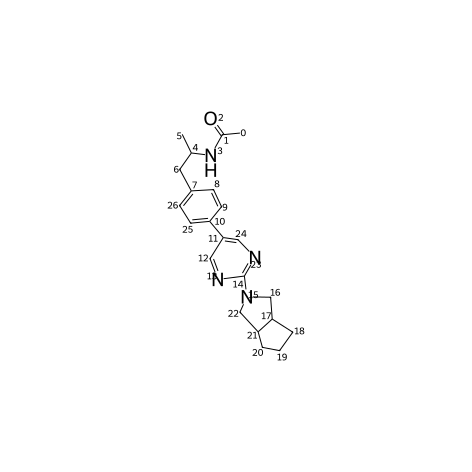 CC(=O)NC(C)Cc1ccc(-c2cnc(N3CC4CCCC4C3)nc2)cc1